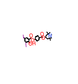 CN1C(C)(C)CC(OC(=O)c2ccc(OC(=O)c3cc(I)cc(I)c3O)cc2)CC1(C)C